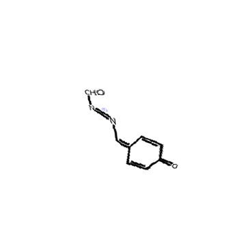 O=C/N=N/C=C1C=CC(=O)C=C1